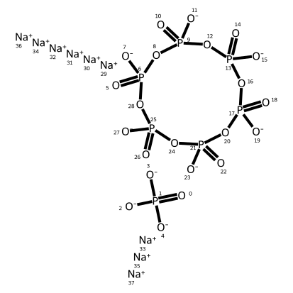 O=P([O-])([O-])[O-].O=P1([O-])OP(=O)([O-])OP(=O)([O-])OP(=O)([O-])OP(=O)([O-])OP(=O)([O-])O1.[Na+].[Na+].[Na+].[Na+].[Na+].[Na+].[Na+].[Na+].[Na+]